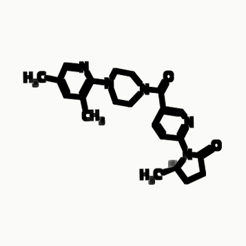 Cc1cnc(N2CCN(C(=O)c3ccc(N4C(=O)CC[C@H]4C)nc3)CC2)c(C)c1